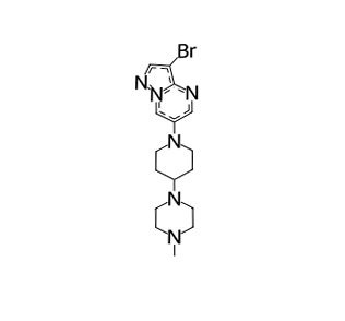 CN1CCN(C2CCN(c3cnc4c(Br)cnn4c3)CC2)CC1